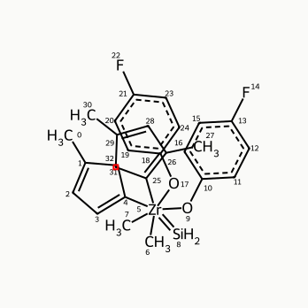 CC1=CC=[C]([Zr]([CH3])([CH3])(=[SiH2])([O]c2ccc(F)cc2)([O]c2ccc(F)cc2)[C]2=C(C)C=C(C)C2)C1